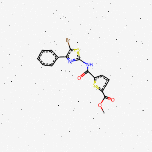 COC(=O)c1ccc(C(=O)Nc2nc(-c3ccccc3)c(Br)s2)s1